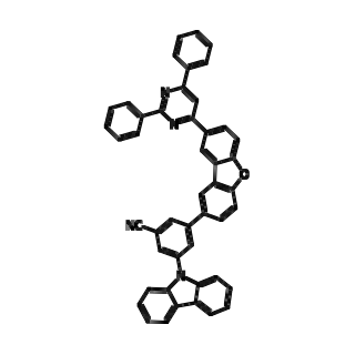 N#Cc1cc(-c2ccc3oc4ccc(-c5cc(-c6ccccc6)nc(-c6ccccc6)n5)cc4c3c2)cc(-n2c3ccccc3c3ccccc32)c1